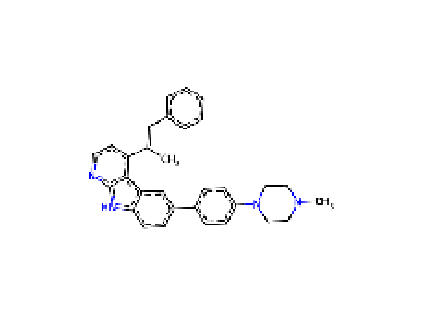 C/C(=C\c1ccccc1)c1ccnc2[nH]c3ccc(-c4ccc(N5CCN(C)CC5)cc4)cc3c12